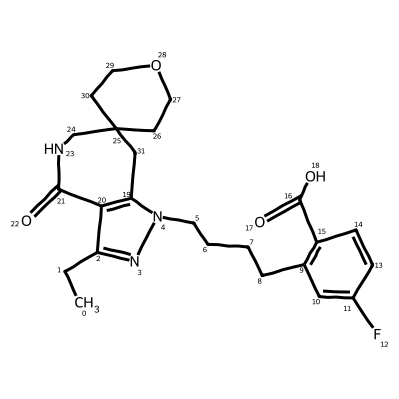 CCc1nn(CCCCc2cc(F)ccc2C(=O)O)c2c1C(=O)NCC1(CCOCC1)C2